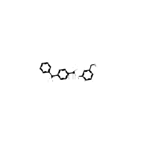 CCc1cccc(NC(=O)c2ccc(C(=O)c3ccccc3)cc2)c1